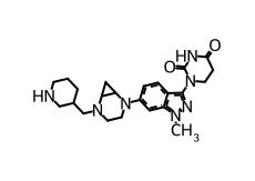 Cn1nc(N2CCC(=O)NC2=O)c2ccc(N3CCN(CC4CCCNC4)C4CC43)cc21